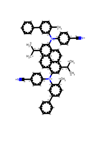 Cc1ccc(-c2ccccc2)cc1N(c1ccc(C#N)cc1)c1cc(C(C)C)c2ccc3c(N(c4ccc(C#N)cc4)c4cc(-c5ccccc5)ccc4C)cc(C(C)C)c4ccc1c2c43